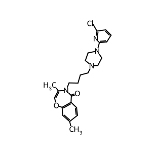 CC1=COc2cc(C)ccc2C(=O)N1CCCCN1CCN(c2cccc(Cl)n2)CC1